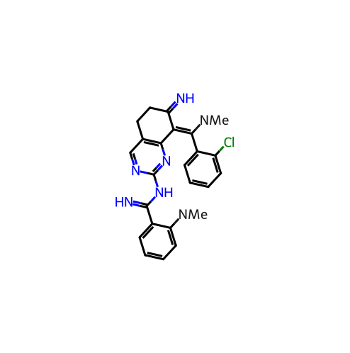 CN/C(=C1\C(=N)CCc2cnc(NC(=N)c3ccccc3NC)nc21)c1ccccc1Cl